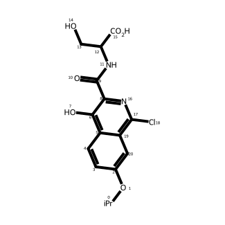 CC(C)Oc1ccc2c(O)c(C(=O)NC(CO)C(=O)O)nc(Cl)c2c1